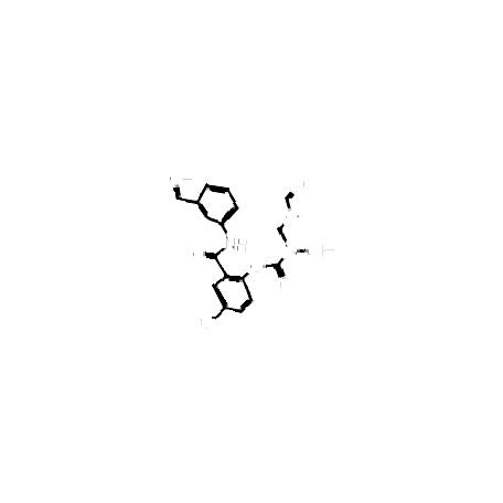 C=Cc1cccc(NC(=O)c2cc(Cl)ccc2OC(=O)N(C)COC=O)c1